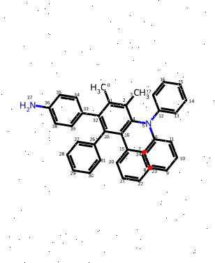 Cc1c(C)c(N(c2ccccc2)c2ccccc2)c(-c2ccccc2)c(-c2ccccc2)c1-c1ccc(N)cc1